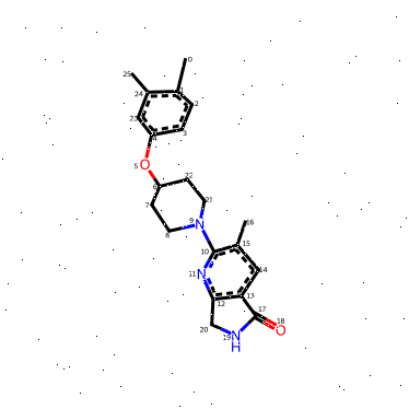 Cc1ccc(OC2CCN(c3nc4c(cc3C)C(=O)NC4)CC2)cc1C